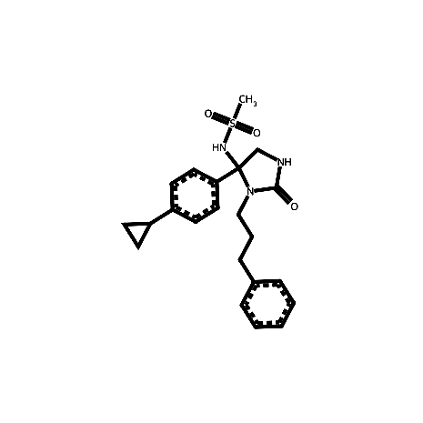 CS(=O)(=O)NC1(c2ccc(C3CC3)cc2)CNC(=O)N1CCCc1ccccc1